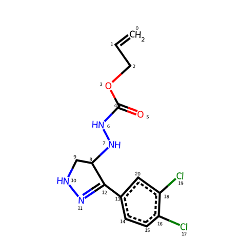 C=CCOC(=O)NNC1CNN=C1c1ccc(Cl)c(Cl)c1